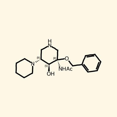 CC(=O)N[C@@]1(OCc2ccccc2)CNC[C@@H](N2CCCCC2)[C@@H]1O